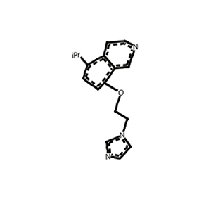 CC(C)c1ccc(OCCn2ccnc2)c2cnccc12